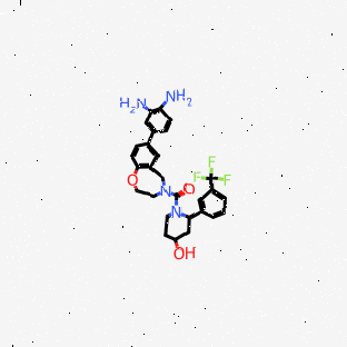 Nc1ccc(-c2ccc3c(c2)CN(C(=O)N2CCC(O)CC2c2cccc(C(F)(F)F)c2)CCO3)cc1N